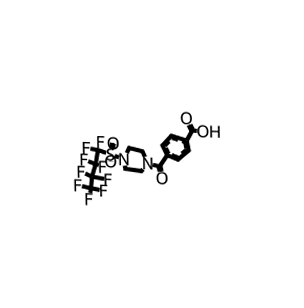 O=C(O)c1ccc(C(=O)N2CCN(S(=O)(=O)C(F)(F)C(F)(F)C(F)(F)C(F)(F)F)CC2)cc1